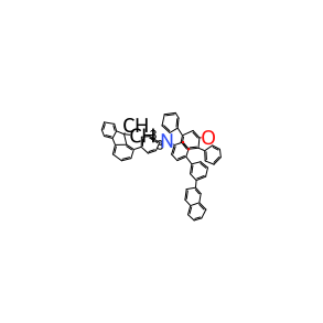 CC1(C)c2ccccc2-c2cccc(-c3ccc(N(c4ccc(-c5cccc(-c6ccc7ccccc7c6)c5)cc4)c4ccccc4-c4ccc5c(c4)oc4ccccc45)cc3)c21